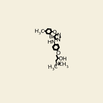 Cc1ccc(Oc2cc(Nc3ccc(OCC(O)CN(C)C)cc3)ncn2)c(Br)c1